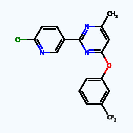 Cc1cc(Oc2cccc(C(F)(F)F)c2)nc(-c2ccc(Cl)nc2)n1